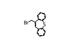 BrCC1=Cc2ccccc2Sc2ccccc21